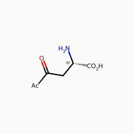 CC(=O)C(=O)C[C@H](N)C(=O)O